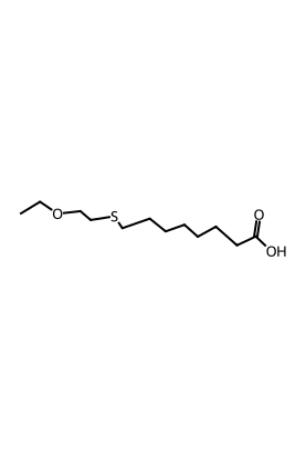 CCOCCSCCCCCCCC(=O)O